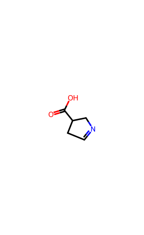 O=C(O)C1CC=NC1